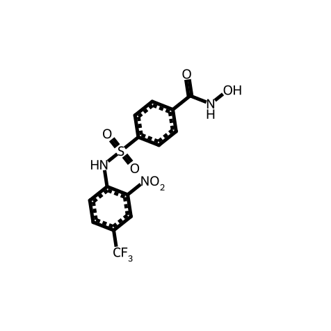 O=C(NO)c1ccc(S(=O)(=O)Nc2ccc(C(F)(F)F)cc2[N+](=O)[O-])cc1